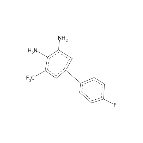 Nc1cc(-c2ccc(F)cc2)cc(C(F)(F)F)c1N